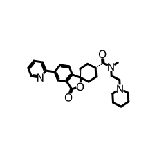 CN(CCN1CCCCC1)C(=O)[C@H]1CC[C@@]2(CC1)OC(=O)c1cc(-c3ccccn3)ccc12